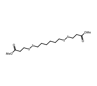 COC(=O)CCSSCCCCCCSSCCC(=O)OC